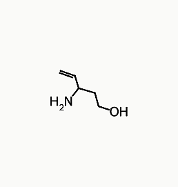 C=CC(N)CCO